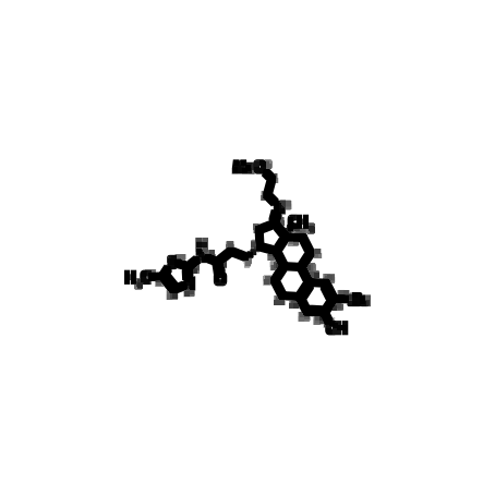 COCCN=C1C[C@@H](CCC(=O)Nc2ncc(C)s2)C2C3CCc4cc(O)c(C(C)(C)C)cc4C3CC[C@]12C